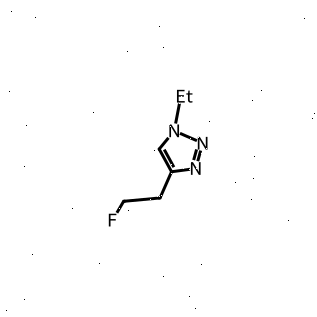 CCn1cc(CCF)nn1